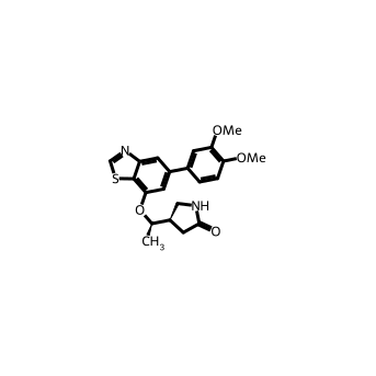 COc1ccc(-c2cc(O[C@H](C)[C@H]3CNC(=O)C3)c3scnc3c2)cc1OC